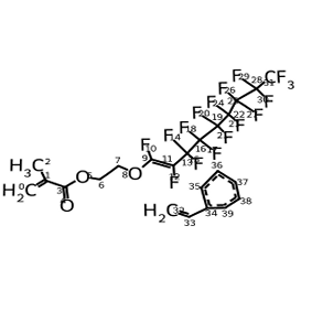 C=C(C)C(=O)OCCOC(F)=C(F)C(F)(F)C(F)(F)C(F)(F)C(F)(F)C(F)(F)C(F)(F)C(F)(F)F.C=Cc1ccccc1